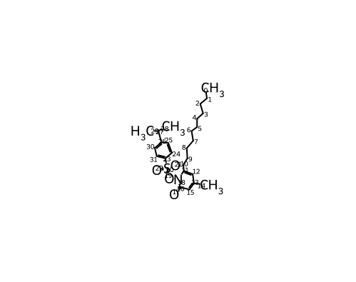 CCCCCCCCCCCc1cc(C)cc(=O)n1OS(=O)(=O)c1ccc(C(C)C)cc1